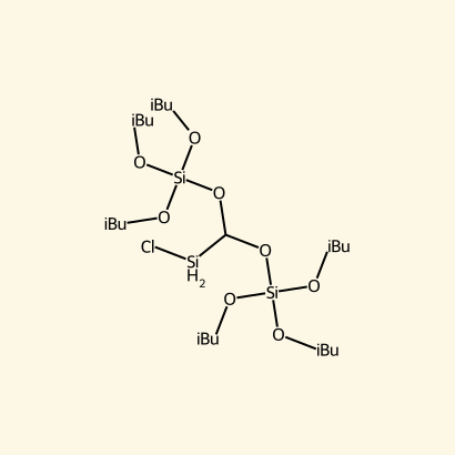 CCC(C)O[Si](OC(C)CC)(OC(C)CC)OC(O[Si](OC(C)CC)(OC(C)CC)OC(C)CC)[SiH2]Cl